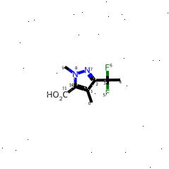 Cc1c(C(C)(F)F)nn(C)c1C(=O)O